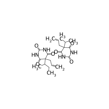 C=CCC1(C(C)C)C(=O)NC(=O)NC1=O.C=CCC1(C(C)CC)C(=O)NC(=O)NC1=O